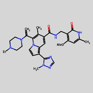 C=C(c1c(C)c(C(=O)NCc2c(OC)cc(C)[nH]c2=O)cc2c(-c3ncnn3C)ccn12)N1CCN(CC)CC1